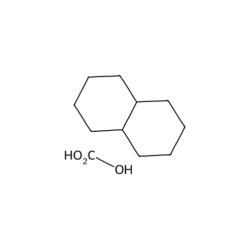 C1CCC2CCCCC2C1.O=C(O)O